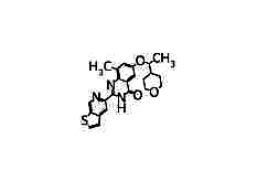 Cc1cc(OC(C)C2CCOCC2)cc2c(=O)[nH]c(-c3cc4ccsc4cn3)nc12